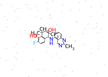 Cc1ncc2c(NC3c4ccc(F)c(O)c4C(C)(C)CC3(O)C(F)(F)F)cccc2n1